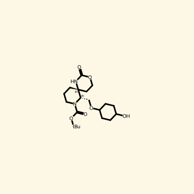 CC(C)(C)OC(=O)N1CCC[C@@]2(CCOC(=O)N2)[C@@H]1COC1CCC(O)CC1